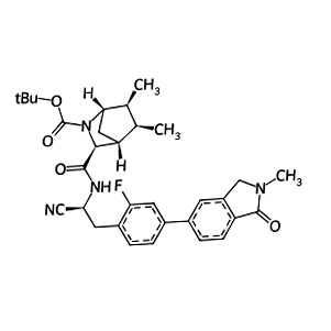 C[C@@H]1[C@H](C)[C@@H]2C[C@H]1[C@@H](C(=O)N[C@H](C#N)Cc1ccc(-c3ccc4c(c3)CN(C)C4=O)cc1F)N2C(=O)OC(C)(C)C